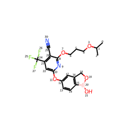 CC(C)OCCCOc1nc(Oc2ccc3c(c2)COB3O)cc(C(F)(F)F)c1C#N